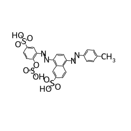 Cc1ccc(N=Nc2ccc(N=Nc3cc(S(=O)(=O)O)ccc3OS(=O)O)c3cc(S(=O)(=O)O)ccc23)cc1